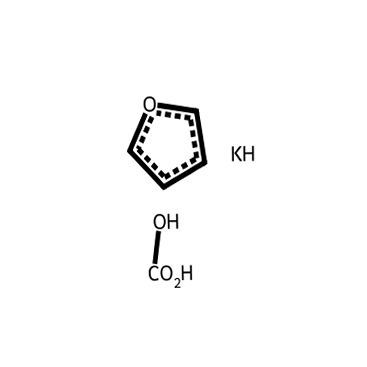 O=C(O)O.[KH].c1ccoc1